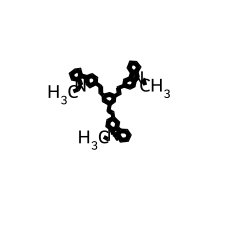 CCn1c2ccccc2c2cc(/C=C/c3cc(/C=C/c4ccc5c(c4)c4ccccc4n5CC)cc(/C=C/c4ccc5c6ccccc6n(CC)c5c4)c3)ccc21